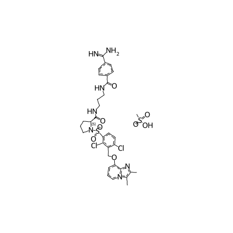 CS(=O)(=O)O.Cc1nc2c(OCc3c(Cl)ccc(S(=O)(=O)N4CCC[C@H]4C(=O)NCCCNC(=O)c4ccc(C(=N)N)cc4)c3Cl)cccn2c1C